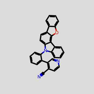 N#Cc1ccncc1-c1ccccc1-n1c2ccccc2c2c3oc4ccccc4c3ccc21